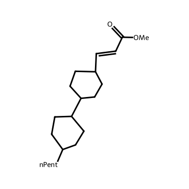 CCCCCC1CCC(C2CCC(/C=C/C(=O)OC)CC2)CC1